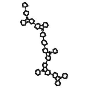 c1ccc(-c2ccc(-n3c4ccccc4c4cc(-c5ccc6c(c5)c5ccccc5n6-c5ccc(-c6ccc(-c7ccc8c9cc(-c%10ccc%11c(c%10)c%10cc(-c%12ccc%13c(c%12)c%12ccccc%12n%13-c%12ccccc%12)ccc%10n%11-c%10ccccc%10)ccc9n(-c9ccccc9)c8c7)cc6)cc5)ccc43)cc2)cc1